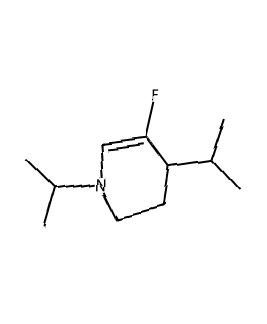 CC(C)C1CCN(C(C)C)C=C1F